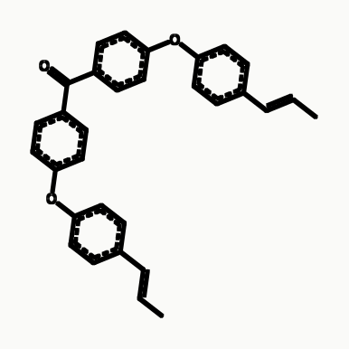 C/C=C/c1ccc(Oc2ccc(C(=O)c3ccc(Oc4ccc(/C=C/C)cc4)cc3)cc2)cc1